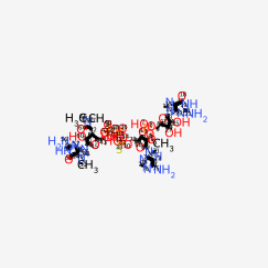 CO[C@@H]1[C@H](OP(=O)(O)OC[C@H]2O[C@@H](n3cnc4c(=O)[nH]c(N)nc43)[C@H](O)[C@@H]2O)[C@@H](COP(O)(=S)OP(=O)(O)OP(=O)(O)OC[C@H]2O[C@@H](n3c[n+](C)c4c(=O)[nH]c(N)nc43)[C@H](O)[C@@H]2CC(=O)N(C)C)O[C@H]1n1cnc2c(N)ncnc21